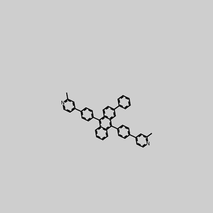 Cc1cc(-c2ccc(-c3c4ccccc4c(-c4ccc(-c5ccnc(C)c5)cc4)c4cc(-c5ccccc5)ccc34)cc2)ccn1